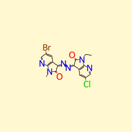 CCN1C(=O)/C(=N\N=C2/C(=O)N(C)c3ncc(Br)cc32)c2cc(Cl)cnc21